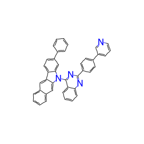 c1ccc(-c2ccc3c4cc5ccccc5cc4n(-c4nc(-c5ccc(-c6cccnc6)cc5)nc5ccccc45)c3c2)cc1